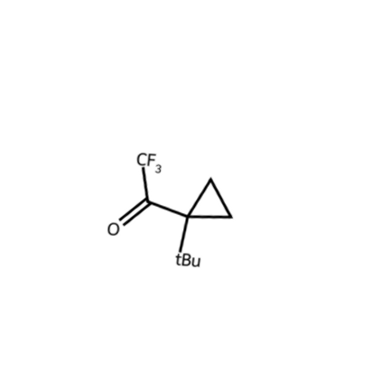 CC(C)(C)C1(C(=O)C(F)(F)F)CC1